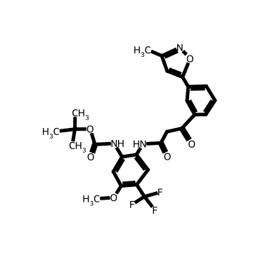 COc1cc(NC(=O)OC(C)(C)C)c(NC(=O)CC(=O)c2cccc(-c3cc(C)no3)c2)cc1C(F)(F)F